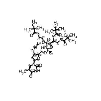 Cc1cn([C@H]2C[C@@H](N=[N+]=[N-])[C@@H](COP(=O)(NP(=O)(OCCSC(=O)C(C)(C)C)OCCSC(=O)C(C)(C)C)OCCSC(=O)C(C)(C)C)O2)c(=O)[nH]c1=O